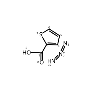 O=C(O)c1cccs1.[N-]=[N+]=N